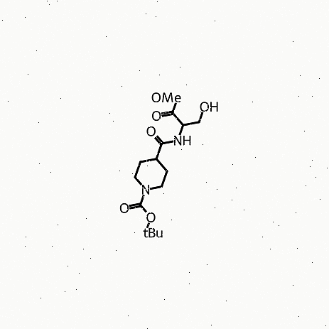 COC(=O)C(CO)NC(=O)C1CCN(C(=O)OC(C)(C)C)CC1